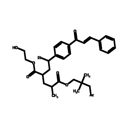 CCC(CC(CC(C)C(=O)OCC(C)(C)CC(C)=O)C(=O)OCCO)c1ccc(C(=O)/C=C/c2ccccc2)cc1